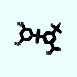 CC1CC(C)CN(S(=O)(=O)c2cc(C(=O)O)cc(C(F)(F)F)c2)C1